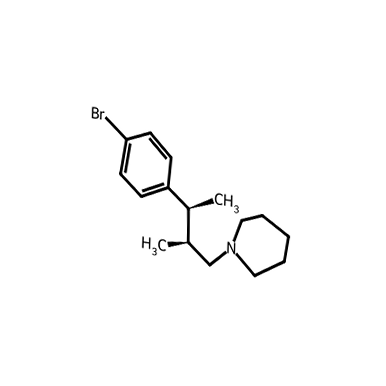 C[C@H](CN1CCCCC1)[C@H](C)c1ccc(Br)cc1